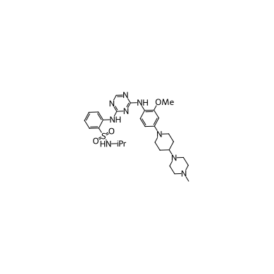 COc1cc(N2CCC(N3CCN(C)CC3)CC2)ccc1Nc1ncnc(Nc2ccccc2S(=O)(=O)NC(C)C)n1